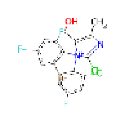 CC1=C(CO)[N+](c2ccc(F)cc2Cl)(c2c(F)cc(F)cc2Br)C(Cl)=N1